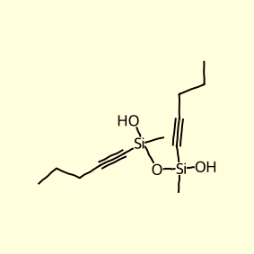 CCCC#C[Si](C)(O)O[Si](C)(O)C#CCCC